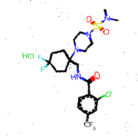 CN(C)S(=O)(=O)N1CCN(C2(CNC(=O)c3ccc(C(F)(F)F)cc3Cl)CCC(F)(F)CC2)CC1.Cl